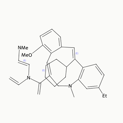 C=CN(/C=C/NC)C(=C)/C1=C/c2c(cccc2OC)/C=C(\C2CCCCC2)c2ccc(CC)cc2N(C)C1